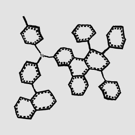 Cc1ccc(N(c2cccc(-c3cccc4ccccc34)c2)c2ccc3c(c2)c2ccccc2c2c(-c4ccccc4)cc(-c4ccccc4)c(-c4ccccc4)c32)cc1